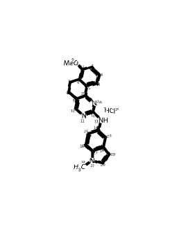 COc1cccc2c1CCc1cnc(Nc3ccc4c(ccn4C)c3)nc1-2.Cl